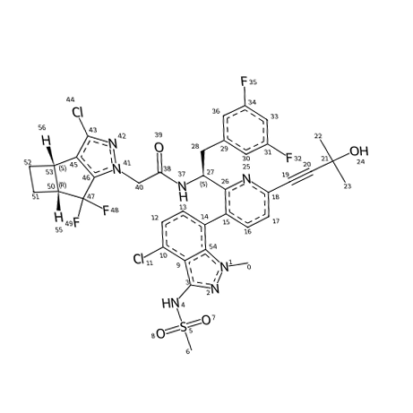 Cn1nc(NS(C)(=O)=O)c2c(Cl)ccc(-c3ccc(C#CC(C)(C)O)nc3[C@H](Cc3cc(F)cc(F)c3)NC(=O)Cn3nc(Cl)c4c3C(F)(F)[C@@H]3CC[C@H]43)c21